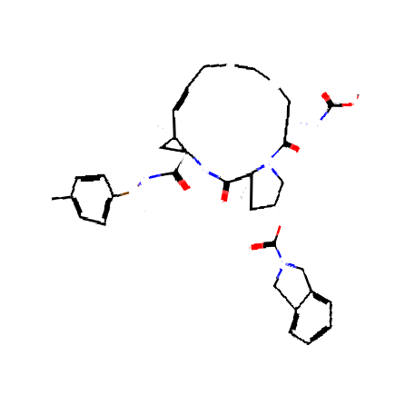 Cc1ccc([S@@+]([O-])NC(=O)[C@@]23C[C@H]2/C=C\CCCCC[C@H](NC(=O)OC(C)(C)C)C(=O)N2C[C@H](OC(=O)N4Cc5ccccc5C4)C[C@H]2C(=O)N3)cc1